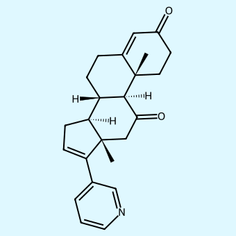 C[C@]12CCC(=O)C=C1CC[C@@H]1[C@@H]2C(=O)C[C@]2(C)C(c3cccnc3)=CC[C@@H]12